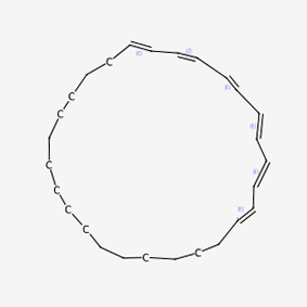 [C]1=C/C=C/C=C/C=C/C=C\C=C\CCCCCCCCCCCCCCC/1